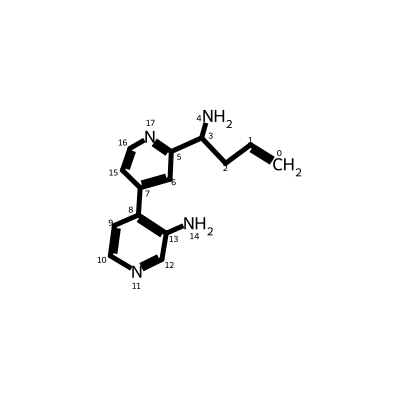 C=CCC(N)c1cc(-c2ccncc2N)ccn1